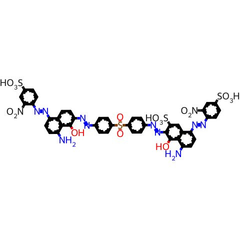 Nc1ccc(N=Nc2ccc(S(=O)(=O)O)cc2[N+](=O)[O-])c2ccc(N=Nc3ccc(S(=O)(=O)c4ccc(N=Nc5c(S(=O)(=O)O)cc6c(N=Nc7ccc(S(=O)(=O)O)cc7[N+](=O)[O-])ccc(N)c6c5O)cc4)cc3)c(O)c12